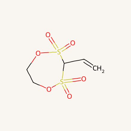 C=CC1S(=O)(=O)OCCOS1(=O)=O